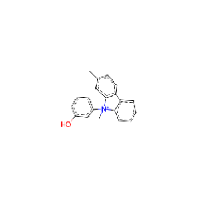 Cc1ccc2c(c1)[N+](C)(c1cccc(O)c1)c1ccccc1-2